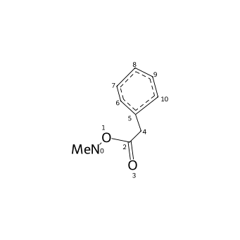 CNOC(=O)Cc1ccccc1